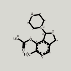 Cc1ncc2c(c1OC(=O)C(C)(C)C)C(N1CCOCC1)OC2